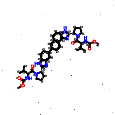 COC(=O)NC(C(=O)N1CCC[C@H]1c1nc2cc(-c3ccc4c(ccc5[nH]c([C@@H]6CCCN6C(=O)[C@@H](NC(=O)OC)C(C)C)nc54)c3)ccc2[nH]1)C(C)C